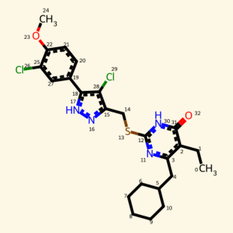 CCc1c(CC2CCCCC2)nc(SCc2n[nH]c(-c3ccc(OC)c(Cl)c3)c2Cl)[nH]c1=O